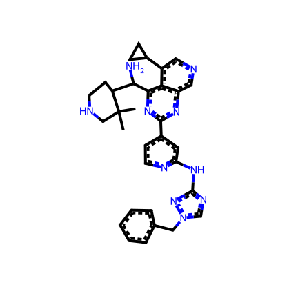 CC1(C)CNCCC1C(N)c1nc(-c2ccnc(Nc3ncn(Cc4ccccc4)n3)c2)nc2cncc(C3CC3)c12